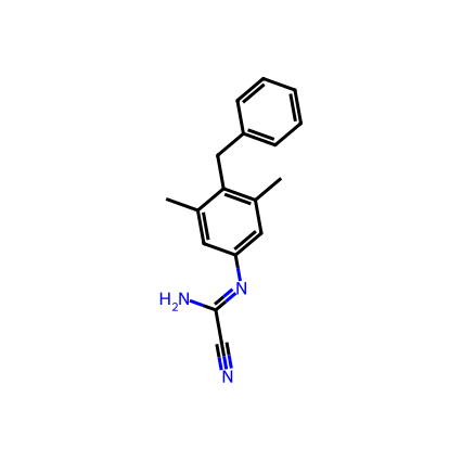 Cc1cc(N=C(N)C#N)cc(C)c1Cc1ccccc1